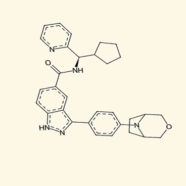 O=C(N[C@@H](c1ccccn1)C1CCCC1)c1ccc2[nH]nc(-c3ccc(N4C5CCC4COC5)cc3)c2c1